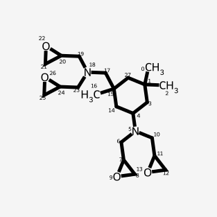 CC1(C)CC(N(CC2CO2)CC2CO2)CC(C)(CN(CC2CO2)CC2CO2)C1